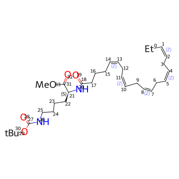 CC/C=C\C/C=C\C/C=C\C/C=C\C/C=C\CCCC(=O)N[C@@H](CCCCNC(=O)OC(C)(C)C)C(=O)OC